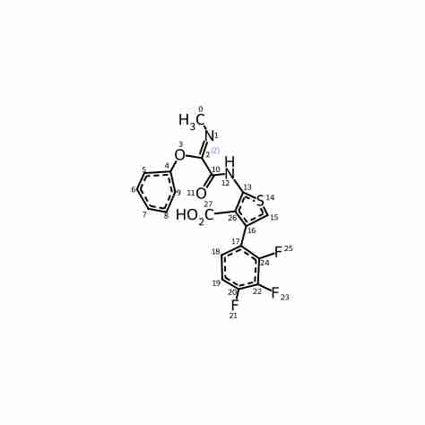 C/N=C(\Oc1ccccc1)C(=O)Nc1scc(-c2ccc(F)c(F)c2F)c1C(=O)O